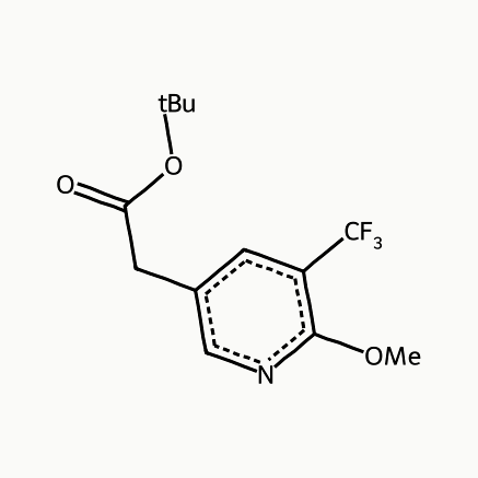 COc1ncc(CC(=O)OC(C)(C)C)cc1C(F)(F)F